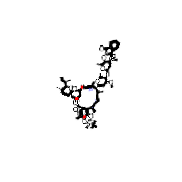 CC[C@@H](C)[C@H]1O[C@]2(C=C[C@@H]1C)C[C@@H]1C[C@@H](C/C=C(\C)C([C@H]3C[C@H](OC)[C@@H](O[C@H]4C[C@H](OC)[C@@H](ON5C(=O)c6ccccc6C5=O)[C@H](C)O4)[C@H](C)O3)[C@@H](C)/C=C/C=C3\CO[C@@H]4[C@H](O[Si](C)(C)C(C)(C)C)C(C)=C[C@@H](C(=O)O1)[C@]34O)O2